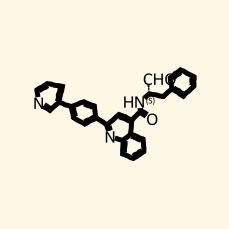 O=C[C@H](Cc1ccccc1)NC(=O)c1cc(-c2ccc(-c3cccnc3)cc2)nc2ccccc12